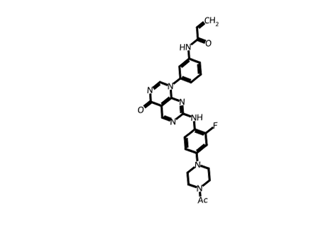 C=CC(=O)Nc1cccc(-n2cnc(=O)c3cnc(Nc4ccc(N5CCN(C(C)=O)CC5)cc4F)nc32)c1